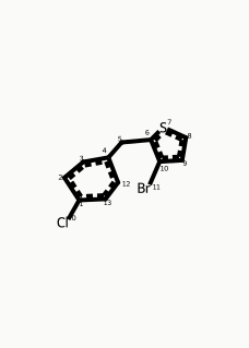 Clc1ccc(Cc2sccc2Br)cc1